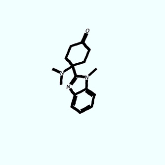 CN(C)C1(c2nc3ccccc3n2C)CCC(=O)CC1